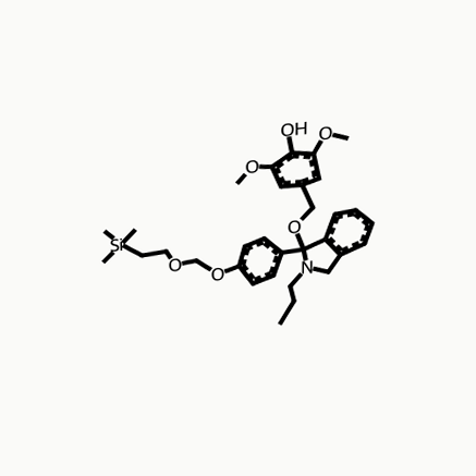 CCCN1Cc2ccccc2C1(OCc1cc(OC)c(O)c(OC)c1)c1ccc(OCOCC[Si](C)(C)C)cc1